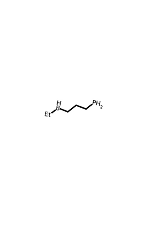 CCBCCCP